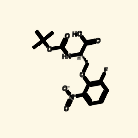 CC(C)(C)OC(=O)N[C@@H](COc1c(F)cccc1[N+](=O)[O-])C(=O)O